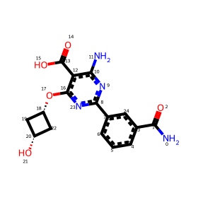 NC(=O)c1cccc(-c2nc(N)c(C(=O)O)c(O[C@H]3C[C@@H](O)C3)n2)c1